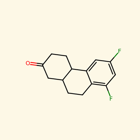 O=C1CCC2c3cc(F)cc(F)c3CCC2C1